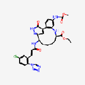 CCOC(=O)C1CCCCC(NC(=O)C=Cc2cc(Cl)ccc2-n2cnnn2)c2cc(c(=O)[nH]n2)-c2ccc(NC(=O)OC)cc2N1